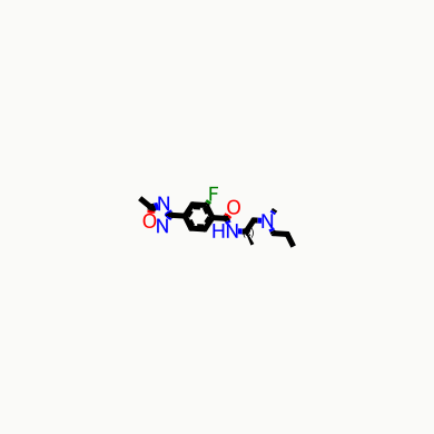 CCCN(C)C[C@@H](C)NC(=O)c1ccc(-c2noc(C)n2)cc1F